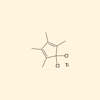 CC1=C(C)C(Cl)(Cl)C(C)=C1C.[Ti]